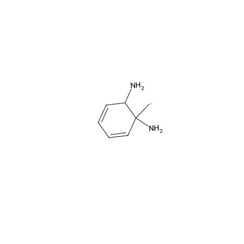 [CH2]C1(N)C=CC=CC1N